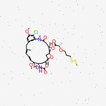 COc1cc2cc(c1Cl)N(C)C(=O)C[C@H](OC(=O)[C@H](C)OCCCSSC)[C@@]1(C)CC(C)(O1)[C@@H]1C[C@@](O)(NC(=O)O1)[C@H](OC)/C=C/C=C(\C)C2